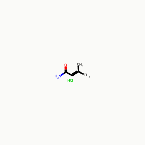 CC(C)=CC(N)=O.Cl